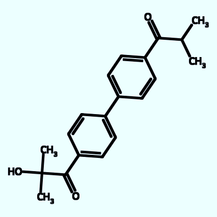 CC(C)C(=O)c1ccc(-c2ccc(C(=O)C(C)(C)O)cc2)cc1